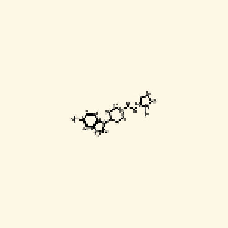 Fc1ccc2c(C3CCN(CC[C@@H]4CCCN4)CC3)noc2c1